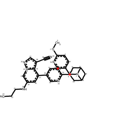 COc1ccc(CN2C3CC2CN(c2ccc(-c4cc(NCCO)cn5ncc(C#N)c45)cn2)C3)cn1